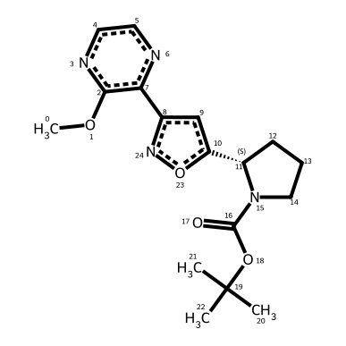 COc1nccnc1-c1cc([C@@H]2CCCN2C(=O)OC(C)(C)C)on1